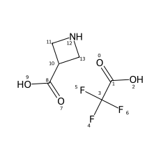 O=C(O)C(F)(F)F.O=C(O)C1CNC1